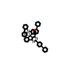 OC1(c2ccccc2-n2c3ccccc3c3ccccc32)c2ccccc2-c2nc(-c3ccc(-c4ccccc4)cc3)nc(-c3ccc(-c4ccccc4)cc3)c21